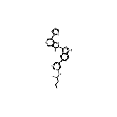 CCCC(=O)Nc1cncc(-c2ccc3[nH]nc(-c4nc5c(-c6cccs6)cncc5[nH]4)c3c2)c1